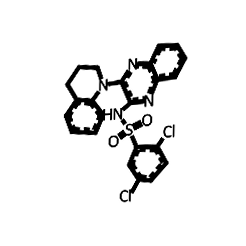 O=S(=O)(Nc1nc2ccccc2nc1N1CCCc2ccccc21)c1cc(Cl)ccc1Cl